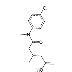 C=C(O)CC(C)CC(=O)N(C)c1ccc(Cl)cc1